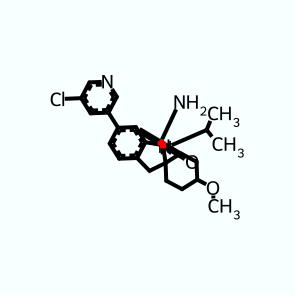 COC1CCC2(CC1)Cc1ccc(-c3cncc(Cl)c3)cc1C21N=C(N)N(C(C)C)C1=O